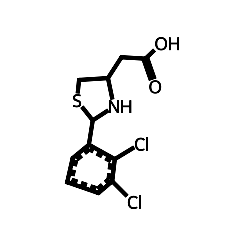 O=C(O)CC1CSC(c2cccc(Cl)c2Cl)N1